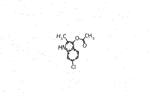 CC(=O)Oc1c(C)[nH]c2cc(Cl)ccc12